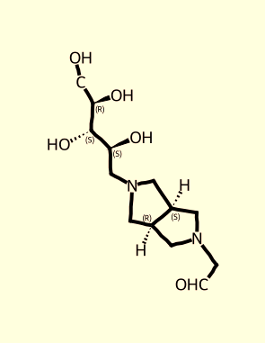 O=CCN1C[C@@H]2CN(C[C@H](O)[C@H](O)[C@H](O)CO)C[C@@H]2C1